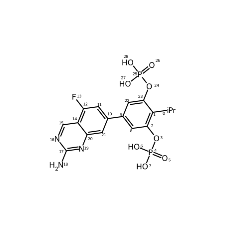 CC(C)c1c(OP(=O)(O)O)cc(-c2cc(F)c3cnc(N)nc3c2)cc1OP(=O)(O)O